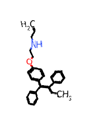 C=CCNCCOc1ccc(C(=C(CC)c2ccccc2)c2ccccc2)cc1